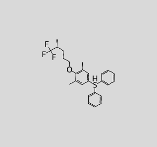 Cc1cc([SH](c2ccccc2)c2ccccc2)cc(C)c1OCCC[C@H](C)C(F)(F)F